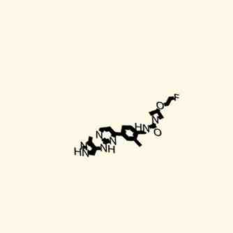 Cc1cc(-c2ccnc(Nc3c[nH]nc3C)n2)ccc1CNC(=O)N1CC(OCCF)C1